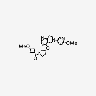 COc1ccc(N2CCc3ncnc(OC4CCN(C(=O)C5CC(OC)C5)C4)c3C2)cn1